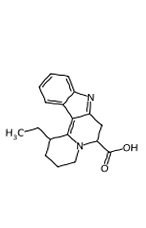 CCC1CCCN2C1=C1C(=Nc3ccccc31)CC2C(=O)O